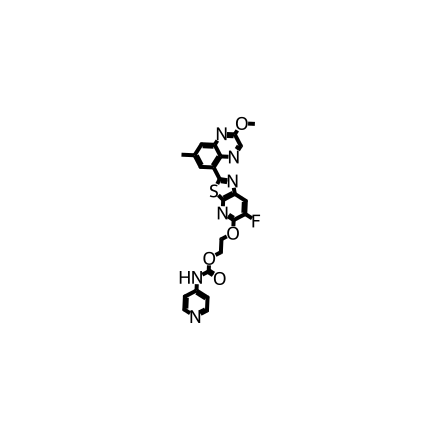 COc1cnc2c(-c3nc4cc(F)c(OCCOC(=O)Nc5ccncc5)nc4s3)cc(C)cc2n1